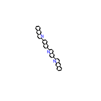 c1ccc2cc3nc(-c4ccc5cc(-c6ccc7cc(-c8ccc9cc%10ccccc%10cc9n8)ccc7n6)ccc5c4)ccc3cc2c1